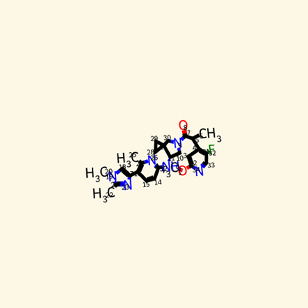 COc1cc(C(C)C(=O)N2C[C@@H](Nc3ccc(-c4cn(C)c(C)n4)c(C)n3)C3(CC3)C2)c(F)cn1